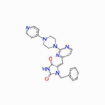 O=C1NC(=O)N(Cc2ccccc2)/C1=C/c1ccnc(N2CCN(c3ccncc3)CC2)n1